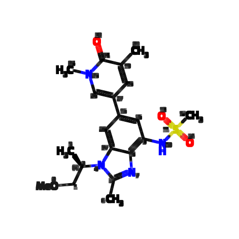 COC[C@@H](C)n1c(C)nc2c(NS(C)(=O)=O)cc(-c3cc(C)c(=O)n(C)c3)cc21